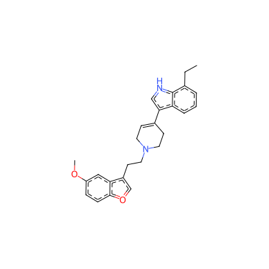 CCc1cccc2c(C3=CCN(CCc4coc5ccc(OC)cc45)CC3)c[nH]c12